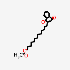 CC(=O)OCCCCCCCCCCCCCC1=CC(=O)c2ccccc2C1=O